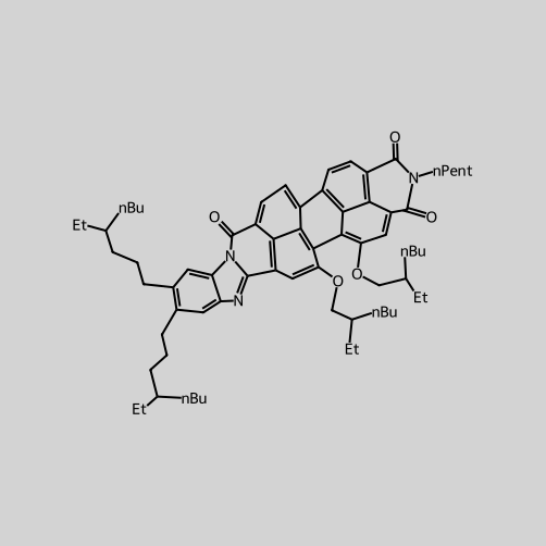 CCCCCN1C(=O)c2ccc3c4ccc5c(=O)n6c7cc(CCCC(CC)CCCC)c(CCCC(CC)CCCC)cc7nc6c6cc(OCC(CC)CCCC)c(c7c(OCC(CC)CCCC)cc(c2c37)C1=O)c4c56